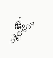 O=C(Nc1ncc(F)s1)C(Oc1ccc(Cl)cc1)c1ccc(S(=O)(=O)C2CCCC2)cc1